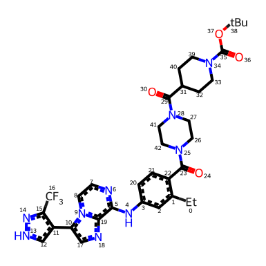 CCc1cc(Nc2nccn3c(-c4c[nH]nc4C(F)(F)F)cnc23)ccc1C(=O)N1CCN(C(=O)C2CCN(C(=O)OC(C)(C)C)CC2)CC1